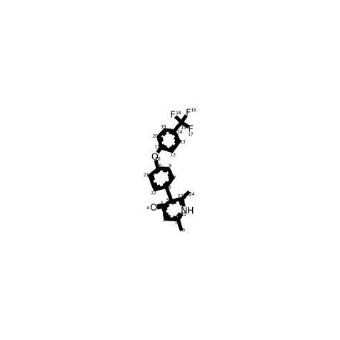 Cc1cc(=O)c(-c2ccc(Oc3ccc(C(F)(F)F)cc3)cc2)c(C)[nH]1